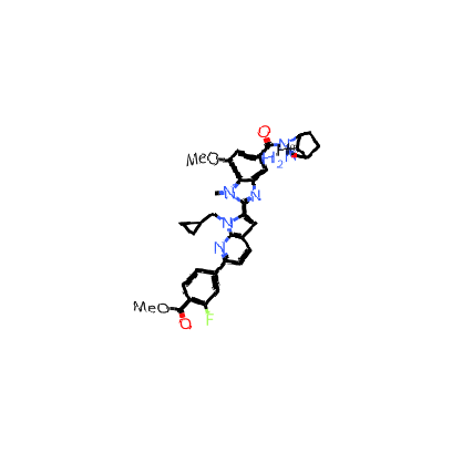 COC(=O)c1ccc(-c2ccc3cc(-c4nc5cc(C(=O)N6CC7CCC6[C@@H]7N)cc(OC)c5n4C)n(CC4CC4)c3n2)cc1F